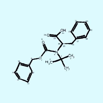 CC(C)(C)N(C(=O)OCc1ccccc1)[C@H](Cc1ccccc1)C(=O)O